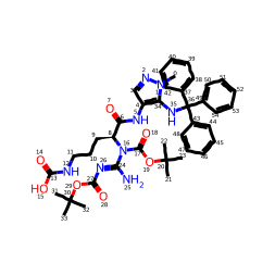 Cn1ncc(NC(=O)[C@H](CCCNC(=O)O)N(C(=O)OC(C)(C)C)C(N)=NC(=O)OC(C)(C)C)c1NC(c1ccccc1)(c1ccccc1)c1ccccc1